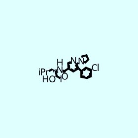 CC(C)C[C@@H](NC(=O)c1cnc(N2CCCC2)c(-c2cccc(Cl)c2)c1)C(O)I